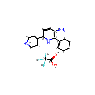 NC1=C(C2=CCCCC2)NC(C2CCNCC2)C=C1.O=C(O)C(F)(F)F